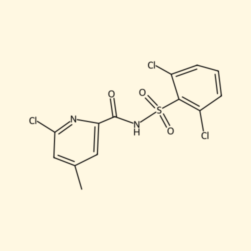 Cc1cc(Cl)nc(C(=O)NS(=O)(=O)c2c(Cl)cccc2Cl)c1